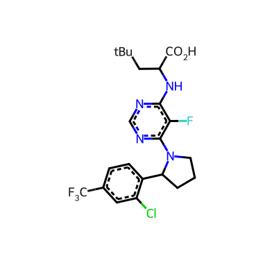 CC(C)(C)CC(Nc1ncnc(N2CCCC2c2ccc(C(F)(F)F)cc2Cl)c1F)C(=O)O